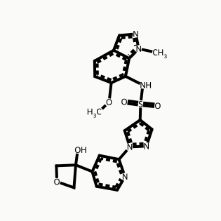 COc1ccc2cnn(C)c2c1NS(=O)(=O)c1cnn(-c2cc(C3(O)COC3)ccn2)c1